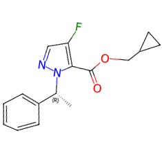 C[C@H](c1ccccc1)n1ncc(F)c1C(=O)OCC1CC1